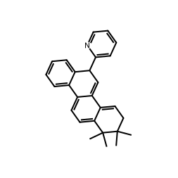 CC1(C)CC=c2c(ccc3c2=CC(c2ccccn2)c2ccccc2-3)C1(C)C